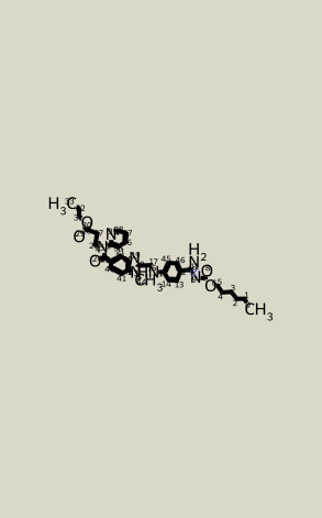 CCCCCCOC(=O)/N=C(\N)c1ccc(NCc2nc3cc(C(=O)N(CCC(=O)OCCC)c4ccccn4)ccc3n2C)cc1